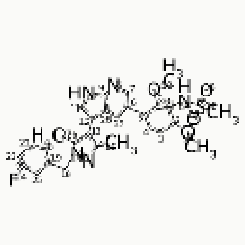 COc1ccc(-c2cnc3[nH]cc(-c4c(C)nn(Cc5cccc(F)c5)c4C)c3c2)c(OC)c1NS(C)(=O)=O